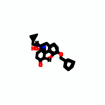 O=C1CC[C@@]2(O)[C@H]3Cc4ccc(OCc5ccccc5)c5c4[C@@]2(CCN3CC2CC2)[C@H]1O5